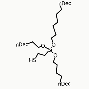 CCCCCCCCCCCCCCCCO[Si](CCS)(OCCCCCCCCCCCC)OCCCCCCCCCCCCCC